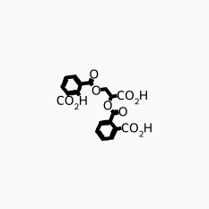 O=C(O)c1ccccc1C(=O)OCC(OC(=O)c1ccccc1C(=O)O)C(=O)O